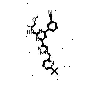 COC[C@H](C)Nc1nc(-c2cccc(C#N)c2)cc(-c2cn(Cc3cccc(C(C)(C)C)n3)nn2)n1